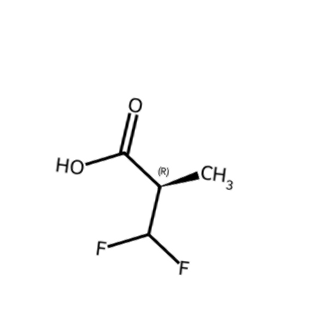 C[C@H](C(=O)O)C(F)F